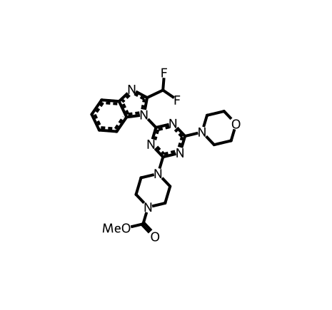 COC(=O)N1CCN(c2nc(N3CCOCC3)nc(-n3c(C(F)F)nc4ccccc43)n2)CC1